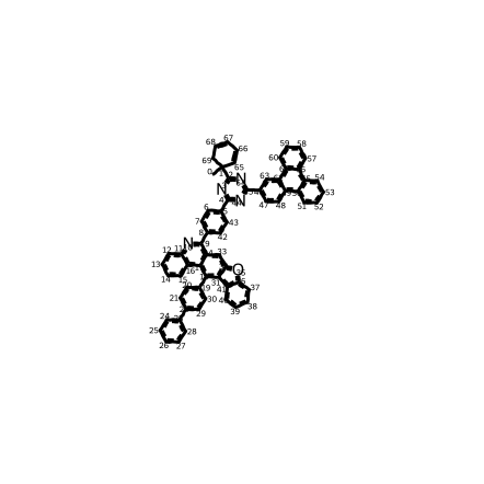 CC1(c2nc(-c3ccc(-c4nc5ccccc5c5c(-c6ccc(-c7ccccc7)cc6)c6c(cc45)oc4ccccc46)cc3)nc(-c3ccc4c5ccccc5c5ccccc5c4c3)n2)C=CC=CC1